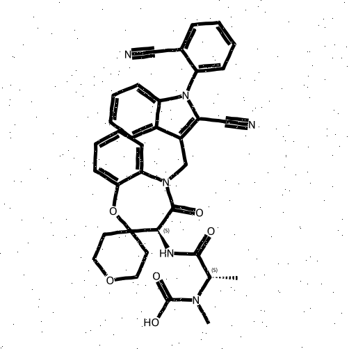 C[C@@H](C(=O)N[C@@H]1C(=O)N(Cc2c(C#N)n(-c3ccccc3C#N)c3ccccc23)c2ccccc2OC12CCOCC2)N(C)C(=O)O